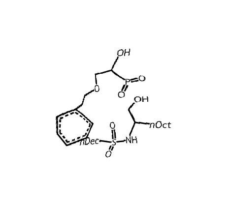 CCCCCCCCCCS(=O)(=O)NC(CO)CCCCCCCC.O=P(=O)C(O)COCc1ccccc1